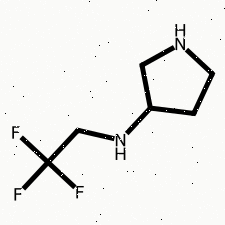 FC(F)(F)CNC1CCNC1